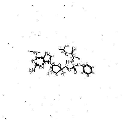 CNc1nc(N)nc2c1ncn2[C@@H]1O[C@](F)(CO[P@@](=O)(N[C@H](C)C(=O)OC(C)C)Oc2ccccc2)C[C@@H]1C